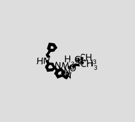 CNC1(c2ccc3cnn(COCC[Si](C)(C)C)c3c2)C=CC=C(N/C=C/c2ccccc2)C1